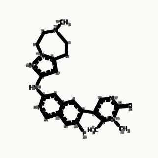 Cc1c(-c2cc3cc(Nc4cc5n(n4)CCN(C)CC5)ncc3cc2F)cnc(=O)n1C